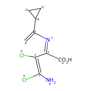 C=C(/N=C(C(=O)O)\C(Cl)=C(/N)Cl)C1CC1